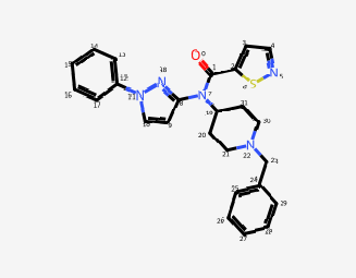 O=C(c1ccns1)N(c1ccn(-c2ccccc2)n1)C1CCN(Cc2ccccc2)CC1